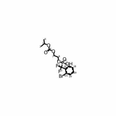 CC(C)OC(=O)OCCOP(=O)(O)C(F)(F)c1cc[c]cc1Br